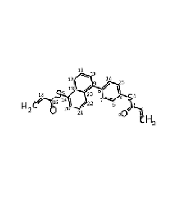 C=CC(=O)Sc1ccc(-c2cccc3c(SC(=O)C=C)cccc23)cc1